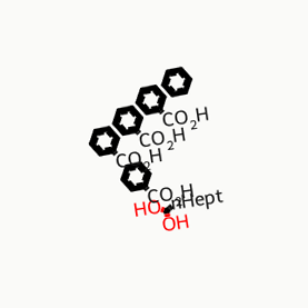 CCCCCCCC(O)O.O=C(O)c1ccccc1.O=C(O)c1ccccc1.O=C(O)c1ccccc1.O=C(O)c1ccccc1.c1ccccc1